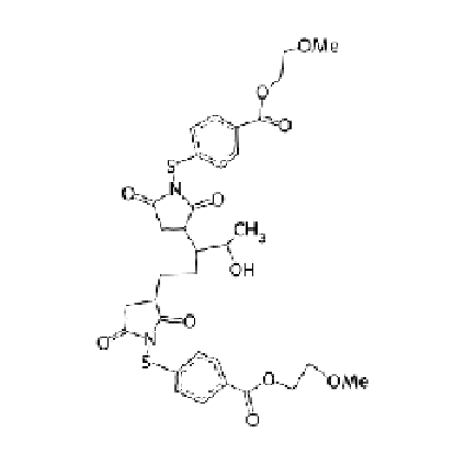 COCCOC(=O)c1ccc(SN2C(=O)CC(CCC(C(C)O)C3CC(=O)N(Sc4ccc(C(=O)OCCOC)cc4)C3=O)C2=O)cc1